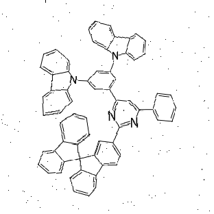 c1ccc(-c2cc(-c3cc(-n4c5ccccc5c5ccccc54)cc(-n4c5ccccc5c5ccccc54)c3)nc(-c3ccc4c(c3)C3(c5ccccc5-c5ccccc53)c3ccccc3-4)n2)cc1